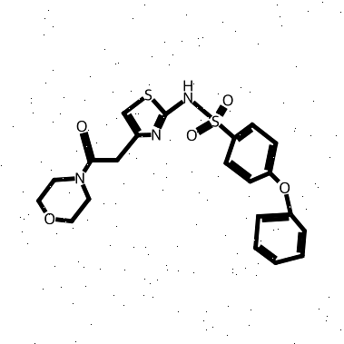 O=C(Cc1csc(NS(=O)(=O)c2ccc(Oc3ccccc3)cc2)n1)N1CCOCC1